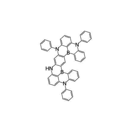 c1ccc(N2c3ccccc3B3c4cc5c(cc4Nc4cccc2c43)N(c2ccccc2)c2cccc3c2B5c2ccccc2N3c2ccccc2)cc1